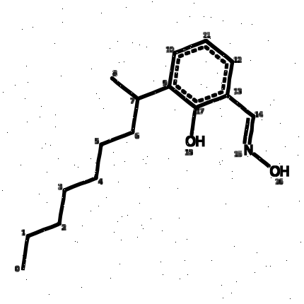 CCCCCCCC(C)c1cccc(C=NO)c1O